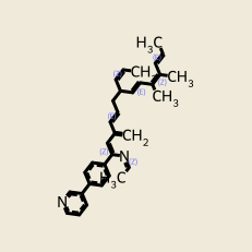 C=C(/C=C(\N=C/C)c1ccc(-c2cccnc2)cc1)/C=C/CC(/C=C\C)/C=C/C(C)=C(C)\C=C\C